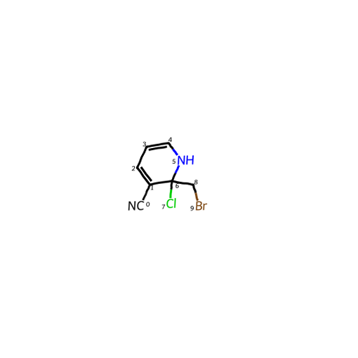 N#CC1=CC=CNC1(Cl)CBr